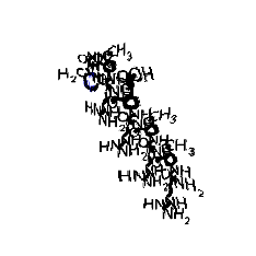 C=C1/C=C\C=C/CN/C=C\1C[C@@H](NC(=O)c1cc(NC(=O)[C@@H](CCCNC(=N)N)NC(=O)c2cc(NC(=O)[C@@H](CCCNC(=N)N)NC(=O)c3cc(NC(=O)[C@@H](CCCNC(=N)N)NC(=O)c4cc(NC(=O)[C@H](N)CCCNC(=N)N)ccc4OC)ccc3OC)ccc2OCC(=O)O)ccc1OC)C(N)=O